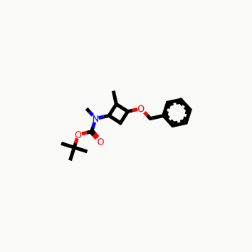 CC1C(OCc2ccccc2)CC1N(C)C(=O)OC(C)(C)C